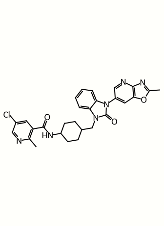 Cc1nc2ncc(-n3c(=O)n(CC4CCC(NC(=O)c5cc(Cl)cnc5C)CC4)c4ccccc43)cc2o1